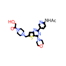 CC(=O)Nc1ccc(-c2nc(N3CCOCC3)c3sc(CN4CCN(C(=O)CO)CC4)cc3n2)cn1